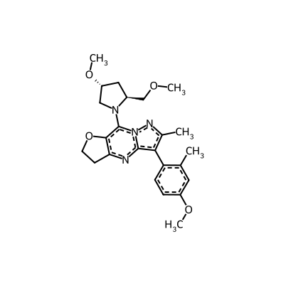 COC[C@@H]1C[C@@H](OC)CN1c1c2c(nc3c(-c4ccc(OC)cc4C)c(C)nn13)CCO2